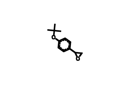 CC(C)(C)Oc1ccc(C2CO2)cc1